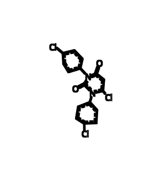 O=c1cc(Cl)n(-c2ccc(Cl)cc2)c(=O)n1-c1ccc(Cl)cc1